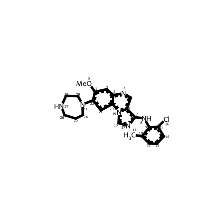 COc1cc2ncc3c(Nc4c(C)cccc4Cl)ncn3c2cc1N1CCCNCC1